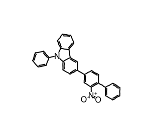 O=[N+]([O-])c1cc(-c2ccc3c(c2)c2ccccc2n3-c2ccccc2)ccc1-c1ccccc1